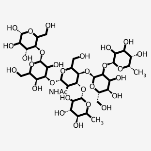 CC(=O)NC1[C@H](O[C@@H]2C(O)[C@H](O[C@@H]3C(CO)O[C@@H](O)C(O)[C@H]3O)OC(CO)[C@@H]2O)OC(CO)[C@@H](O[C@@H]2O[C@@H](CO)[C@H](O)C(O)C2O[C@@H]2O[C@@H](C)[C@@H](O)C(O)C2O)[C@@H]1O[C@@H]1OC(C)[C@@H](O)[C@H](O)C1O